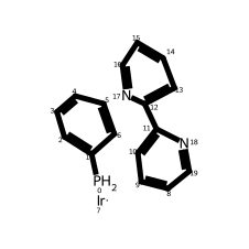 Pc1ccccc1.[Ir].c1ccc(-c2ccccn2)nc1